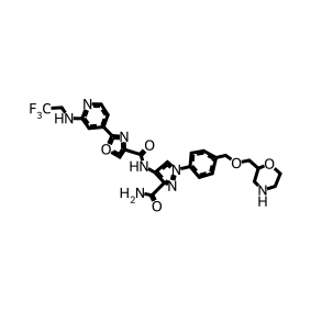 NC(=O)c1nn(-c2ccc(COCC3CNCCO3)cc2)cc1NC(=O)c1coc(-c2ccnc(NCC(F)(F)F)c2)n1